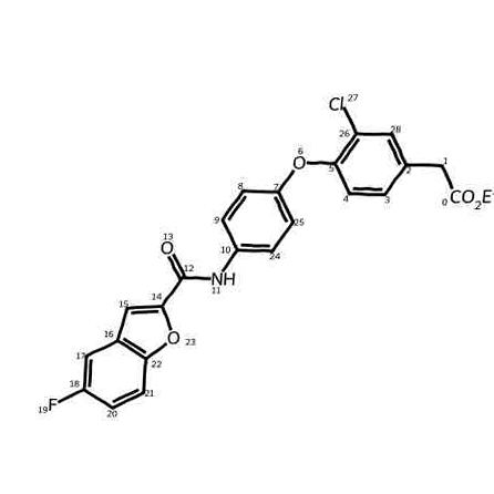 CCOC(=O)Cc1ccc(Oc2ccc(NC(=O)c3cc4cc(F)ccc4o3)cc2)c(Cl)c1